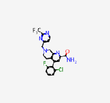 NC(=O)c1cc(-c2c(F)cccc2Cl)c2c(n1)CN(Cc1ccnc(C(F)(F)F)n1)CC2